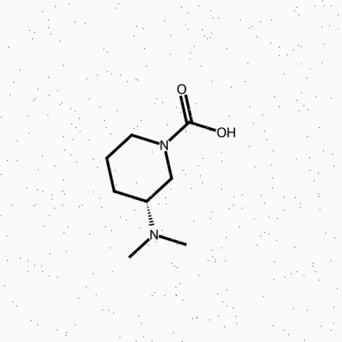 CN(C)[C@@H]1CCCN(C(=O)O)C1